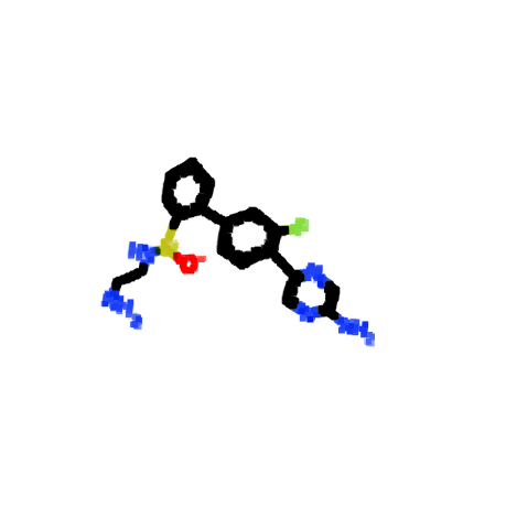 NCCN[S+]([O-])c1ccccc1-c1ccc(-c2cnc(N)cn2)c(F)c1